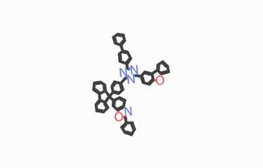 c1ccc(-c2ccc(-c3nc(-c4ccc(C5(c6ccc7nc(-c8ccccc8)oc7c6)c6ccccc6-c6ccccc65)cc4)nc(-c4ccc5oc6ccccc6c5c4)n3)cc2)cc1